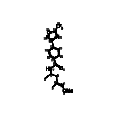 CO/N=C(\C)CC(C)NC(=O)c1ccc(-c2noc(C(F)(F)F)n2)cc1